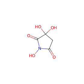 O=C1CC(O)(O)C(=O)N1O